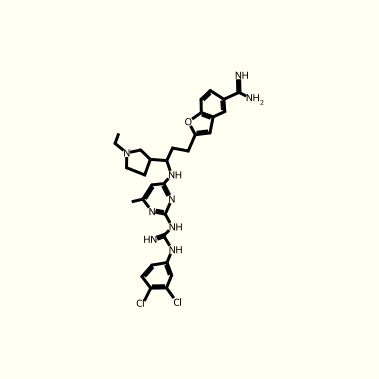 CCN1CCC(C(CCc2cc3cc(C(=N)N)ccc3o2)Nc2cc(C)nc(NC(=N)Nc3ccc(Cl)c(Cl)c3)n2)C1